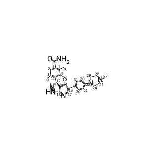 Cc1cc(C(N)=O)c(C)c(C)c1-c1n[nH]c2ncc(-c3ccc(N4CCN(C)CC4)cc3)cc12